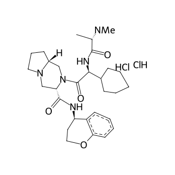 CN[C@@H](C)C(=O)N[C@H](C(=O)N1C[C@H]2CCCN2C[C@H]1C(=O)N[C@@H]1CCOc2ccccc21)C1CCCCC1.Cl.Cl